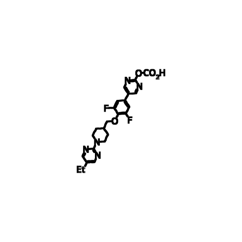 CCc1cnc(N2CCC(COc3c(F)cc(-c4cnc(OC(=O)O)nc4)cc3F)CC2)nc1